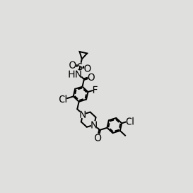 Cc1cc(C(=O)N2CCN(Cc3cc(F)c(C(=O)NS(=O)(=O)C4CC4)cc3Cl)CC2)ccc1Cl